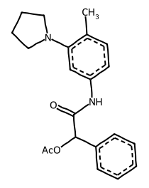 CC(=O)OC(C(=O)Nc1ccc(C)c(N2CCCC2)c1)c1ccccc1